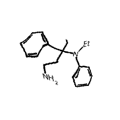 CCN(c1ccccc1)C(C)(CCN)c1ccccc1